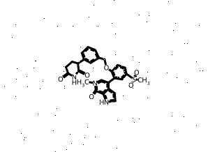 Cn1cc(-c2cc(S(C)(=O)=O)ccc2OCc2cccc(C3CCC(=O)NC3=O)c2)c2cc[nH]c2c1=O